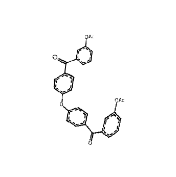 CC(=O)Oc1cccc(C(=O)c2ccc(Oc3ccc(C(=O)c4cccc(OC(C)=O)c4)cc3)cc2)c1